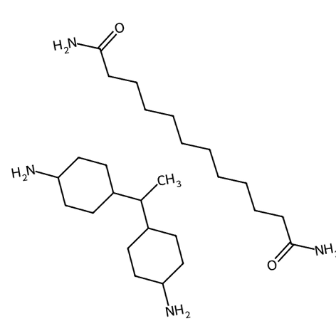 CC(C1CCC(N)CC1)C1CCC(N)CC1.NC(=O)CCCCCCCCCCC(N)=O